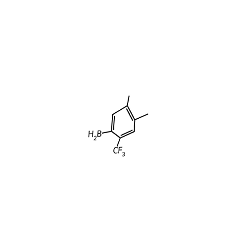 Bc1cc(C)c(C)cc1C(F)(F)F